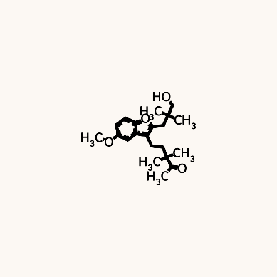 COc1ccc2oc(CC(C)(C)CO)c(CCC(C)(C)C(C)=O)c2c1